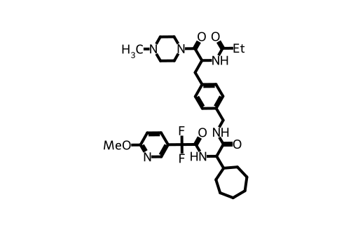 CCC(=O)NC(Cc1ccc(CNC(=O)C(NC(=O)C(F)(F)c2ccc(OC)nc2)C2CCCCCC2)cc1)C(=O)N1CCN(C)CC1